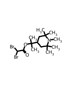 CN1C(C)(C)CC(C(C)(C)OC(=O)C(Br)Br)CC1(C)C